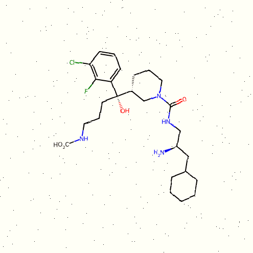 N[C@@H](CNC(=O)N1CCC[C@@H]([C@@](O)(CCCNC(=O)O)c2cccc(Cl)c2F)C1)CC1CCCCC1